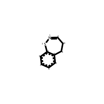 C1=NSc2ccccc2CC1